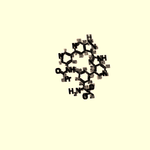 CC(C)C(=O)Nc1cncc(-c2cc3c(-c4nc5c(-c6cc(F)cc(C(N)S(C)(=O)=O)c6)cncc5[nH]4)n[nH]c3cn2)c1